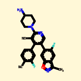 Cc1noc2cc(-c3cnc(N4CCC(N)CC4)c(C#N)c3-c3ccc(C#N)c(F)c3)c(F)cc12